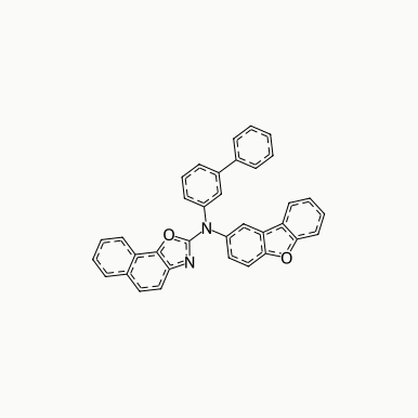 c1ccc(-c2cccc(N(c3ccc4oc5ccccc5c4c3)c3nc4ccc5ccccc5c4o3)c2)cc1